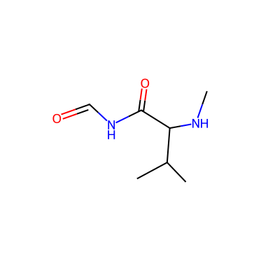 CNC(C(=O)NC=O)C(C)C